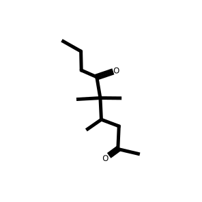 CCCC(=O)C(C)(C)C(C)CC(C)=O